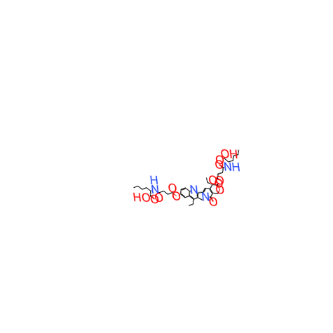 CCCCC(NC(=O)CCC(=O)Oc1ccc2nc3c(c(CC)c2c1)Cn1c-3cc2c(c1=O)COC(=O)[C@@]2(CC)OC(=O)CCC(=O)NC(CCCC)C(=O)O)C(=O)O